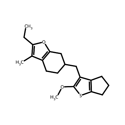 CCc1oc2c(c1C)CCC(Cc1c(OC)sc3c1CCC3)C2